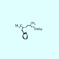 COCCC(C)CCC(C)Cc1ccccc1